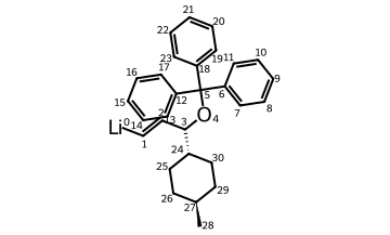 [Li][CH]=CC(OC(c1ccccc1)(c1ccccc1)c1ccccc1)[C@H]1CC[C@H](C)CC1